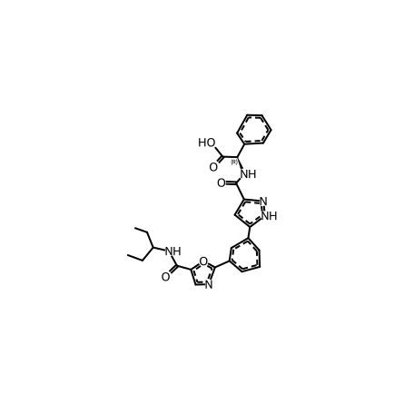 CCC(CC)NC(=O)c1cnc(-c2cccc(-c3cc(C(=O)N[C@@H](C(=O)O)c4ccccc4)n[nH]3)c2)o1